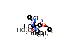 Cc1nc(CN(C)Cc2ccccc2)c(-c2ccc(OCCc3ccc(F)cc3)cc2)c(N2CCC(C)(C)CC2)c1C(OC(C)(C)C)C(=O)O